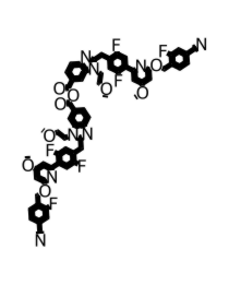 COCCn1c(Cc2cc(F)c(-c3cc(OC)cc(OCc4ccc(C#N)cc4F)n3)cc2F)nc2ccc(C(=O)OC(=O)c3ccc4nc(Cc5cc(F)c(-c6cc(OC)cc(OCc7ccc(C#N)cc7F)n6)cc5F)n(CCOC)c4c3)cc21